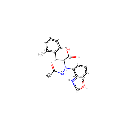 CC(=O)NN(c1cccc2ocnc12)C(Cc1ccccc1C)C(=O)O